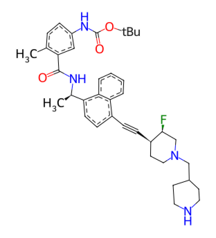 Cc1ccc(NC(=O)OC(C)(C)C)cc1C(=O)N[C@H](C)c1ccc(C#C[C@@H]2CCN(CC3CCNCC3)C[C@@H]2F)c2ccccc12